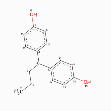 [CH2]CC[C](c1ccc(O)cc1)c1ccc(O)cc1